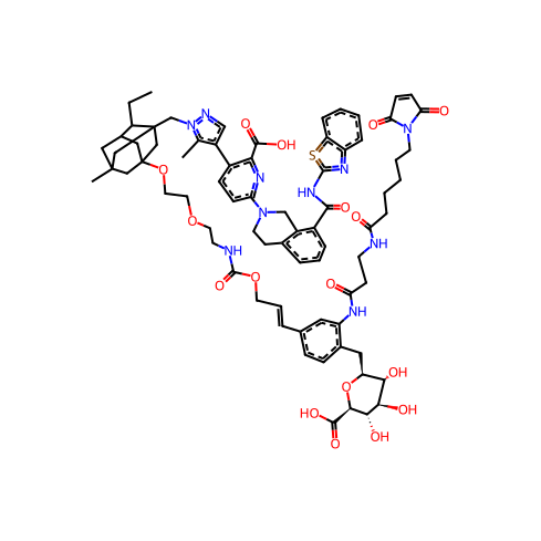 CCC1C2CC3(C)CC(OCCOCCNC(=O)OC/C=C/c4ccc(C[C@@H]5O[C@H](C(=O)O)[C@@H](O)[C@H](O)[C@H]5O)c(NC(=O)CCNC(=O)CCCCCN5C(=O)C=CC5=O)c4)(C2)CC1(Cn1ncc(-c2ccc(N4CCc5cccc(C(=O)Nc6nc7ccccc7s6)c5C4)nc2C(=O)O)c1C)C3